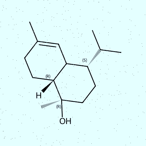 CC1=CC2[C@H](C(C)C)CC[C@@](C)(O)[C@@H]2CC1